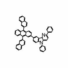 c1ccc(-c2ccc3c(n2)c2cc(-c4ccc5c(-c6ccc7ccccc7c6)c6ccccc6c(-c6ccc7ccccc7c6)c5c4)ccc2n3-c2ccccc2)cc1